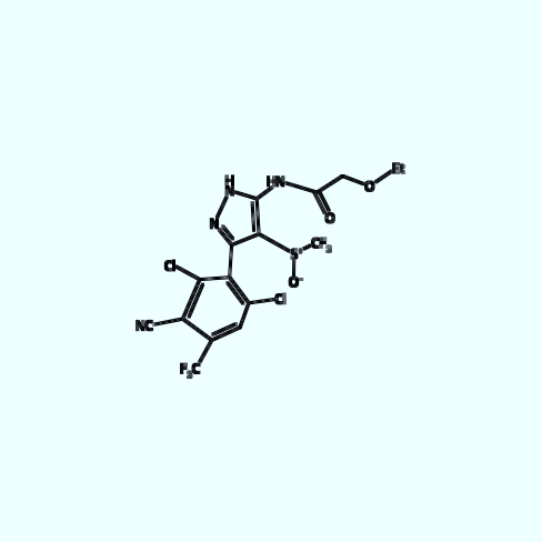 CCOCC(=O)Nc1[nH]nc(-c2c(Cl)cc(C(F)(F)F)c(C#N)c2Cl)c1[S+]([O-])C(F)(F)F